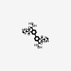 O=C(NO)c1ccc(-c2ccc(C(=O)NO)c(S(=O)(=O)c3ncn[nH]3)c2)cc1S(=O)(=O)c1ncn[nH]1